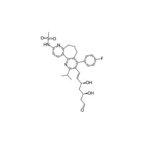 CC(C)c1nc2c(c(-c3ccc(F)cc3)c1/C=C/[C@@H](O)C[C@@H](O)CC=O)CCCc1nc(NS(C)(=O)=O)ccc1-2